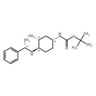 C[C@H](N[C@@H]1CC[C@@H](NC(=O)OC(C)(C)C)C[C@H]1O)c1ccccc1